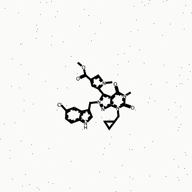 COC(=O)c1cc(-c2c3c(=O)n(C)c(=O)n(CC4CC4)c3nn2Cc2c[nH]c3ccc(Cl)cc23)n(C)c1